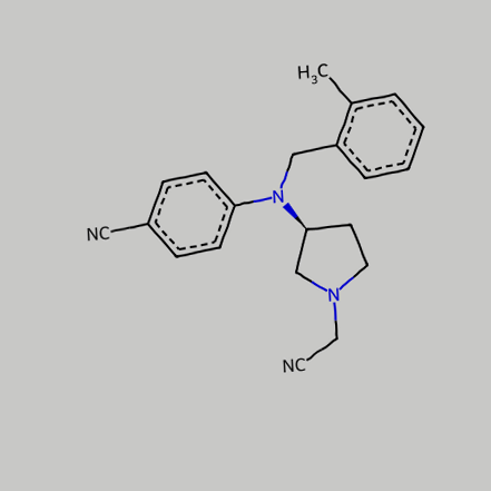 Cc1ccccc1CN(c1ccc(C#N)cc1)[C@H]1CCN(CC#N)C1